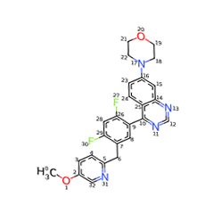 COc1ccc(Cc2cc(-c3ncnc4cc(N5CCOCC5)ccc34)c(F)cc2F)nc1